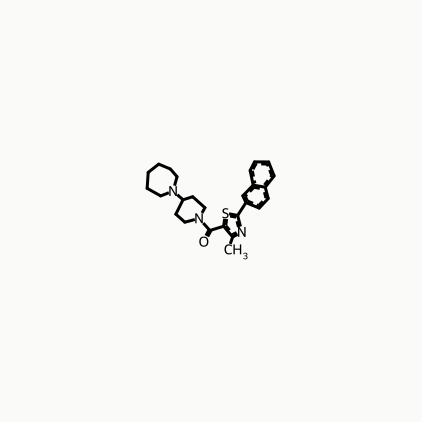 Cc1nc(-c2ccc3ccccc3c2)sc1C(=O)N1CCC(N2CCCCCC2)CC1